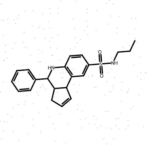 CCCNS(=O)(=O)c1ccc2c(c1)C1C=CCC1C(c1ccccc1)N2